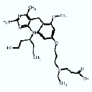 CCCC(CCO)Nc1nc(N)nc(C)c1Cc1ccc(OCCCN(CC)CCC(=O)O)cc1OC